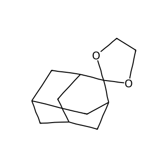 C1COC2(O1)C1CC3CC(C1)CC2C3